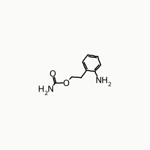 NC(=O)OCCc1ccccc1N